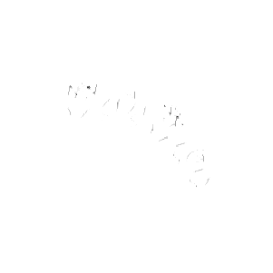 Cc1cc2c(s1)-c1sc(-c3ccc(-c4cc5c(s4)-c4sc(-c6ccc(C)c7nsnc67)cc4[Si]5(C)C)c4nsnc34)cc1[Si]2(C)C